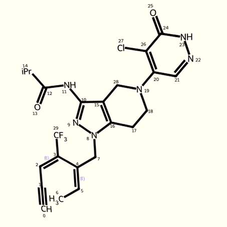 C#C/C=C(\C(=C/C)Cn1nc(NC(=O)C(C)C)c2c1CCN(c1cn[nH]c(=O)c1Cl)C2)C(F)(F)F